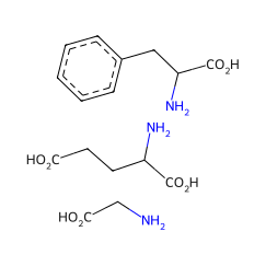 NC(CCC(=O)O)C(=O)O.NC(Cc1ccccc1)C(=O)O.NCC(=O)O